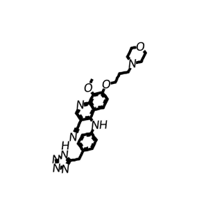 COc1c(OCCCN2CCOCC2)ccc2c(Nc3ccc(Cc4nnn[nH]4)cc3)c(C#N)cnc12